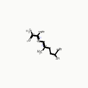 CCC/C(=N\C=C(/C)CCC(CC)C(C)C)C(N)=O